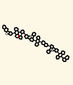 c1ccc(-c2c(-c3ccc4c5ccc(-c6c7ccccc7c(-c7ccc8cc(-c9ccc%10c%11ccc(-c%12c%13ccccc%13c(-c%13cccc%14ccccc%13%14)c%13ccccc%12%13)cc%11n%11c%12ccccc%12c9c%10%11)ccc8c7)c7ccccc67)c6c7ccccc7n(c4c3)c56)cccc2-c2c3ccccc3c(-c3ccc4oc5cc6ccccc6cc5c4c3)c3ccccc23)cc1